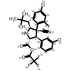 CC(C)(C)C[C@@H]1N[C@@H](C(=O)OC(=O)C(F)(F)F)[C@H](c2cccc(Cl)c2)[C@@]1(C#N)c1ccc(Cl)cc1F